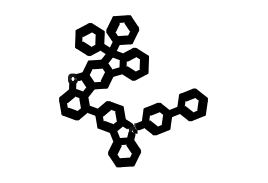 c1ccc(-c2ccc(-n3c4ccccc4c4cc(-c5cccc6oc7cc8c(cc7c56)-c5ccccc5C8(c5ccccc5)c5ccccc5)ccc43)cc2)cc1